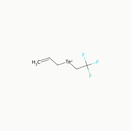 C=CC[Te+]CC(F)(F)F